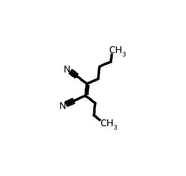 CCCC/C(C#N)=C(/C#N)CCC